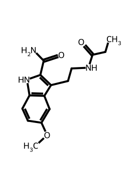 CCC(=O)NCCc1c(C(N)=O)[nH]c2ccc(OC)cc12